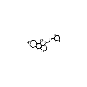 Cc1c2c(cc3c1N(CCOc1cnccn1)CCO3)CCNCC2